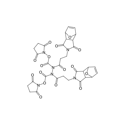 O=C1C2C3C=CC(O3)C2C(=O)N1CCC(=O)N(C(=O)ON1C(=O)CCC1=O)N(C(=O)CCN1C(=O)C2C3C=CC(O3)C2C1=O)C(=O)ON1C(=O)CCC1=O